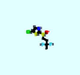 CC(F)(F)CC[S+]([O-])c1ncc(Cl)s1